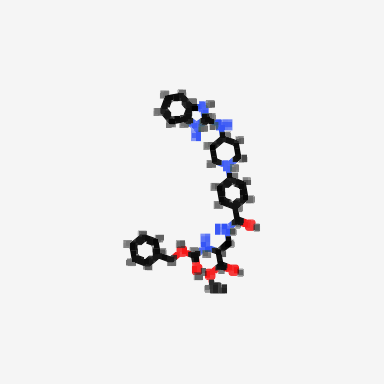 CC(C)(C)OC(=O)[C@H](CNC(=O)c1ccc(N2CCC(Nc3nc4ccccc4[nH]3)CC2)cc1)NC(=O)OCc1ccccc1